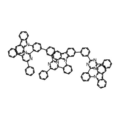 c1ccc(-c2cc(-c3ccccc3-n3c4ccccc4c4ccc(-c5cccc(-c6nc(-c7ccccc7)nc(-c7ccccc7-n7c8ccccc8c8ccccc87)n6)c5)cc43)nc(-c3cccc(-c4ccc(-n5c6ccccc6c6ccccc65)c(-c5nc(-c6ccccc6)cc(-c6ccccc6)n5)c4)c3)n2)cc1